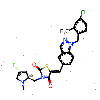 CN1C[C@H](F)C[C@H]1CN1C(=O)SC(=Cc2ccc3c(cnn3Cc3ccc(Cl)cc3C(F)(F)F)c2)C1=O